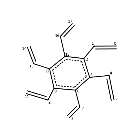 C=Cc1c(C=C)c(C=C)c(C=C)c(C=C)c1C=C